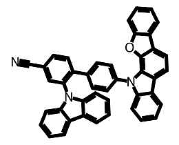 N#Cc1ccc(-c2ccc(-n3c4ccccc4c4ccc5c6ccccc6oc5c43)cc2)c(-n2c3ccccc3c3ccccc32)c1